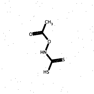 CC(=O)ONC(=S)S